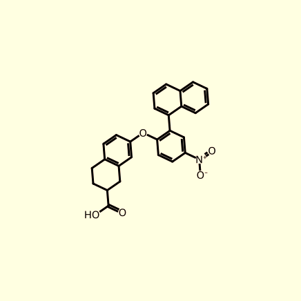 O=C(O)C1CCc2ccc(Oc3ccc([N+](=O)[O-])cc3-c3cccc4ccccc34)cc2C1